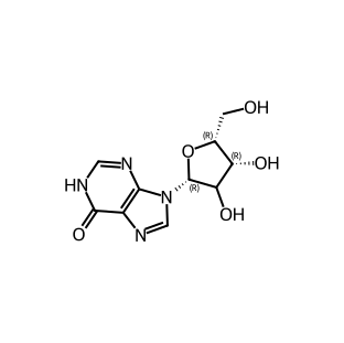 O=c1[nH]cnc2c1ncn2[C@@H]1O[C@H](CO)[C@H](O)C1O